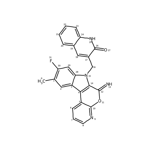 Cc1cc2c3c4cccnc4oc(=N)c3n(Cc3cc4ccccc4[nH]c3=O)c2cc1F